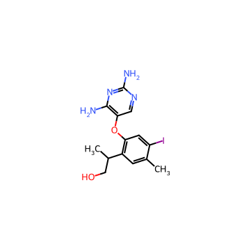 Cc1cc(C(C)CO)c(Oc2cnc(N)nc2N)cc1I